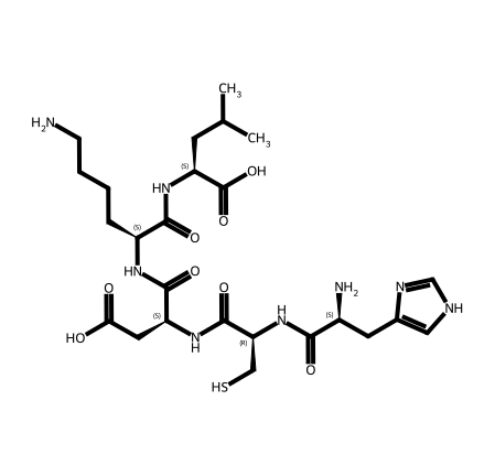 CC(C)C[C@H](NC(=O)[C@H](CCCCN)NC(=O)[C@H](CC(=O)O)NC(=O)[C@H](CS)NC(=O)[C@@H](N)Cc1c[nH]cn1)C(=O)O